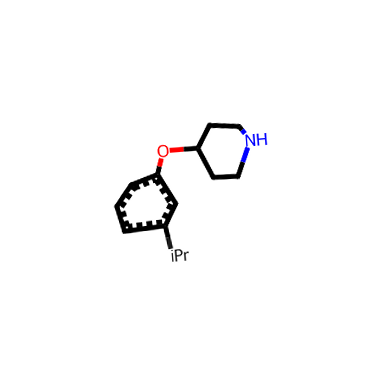 CC(C)c1cccc(OC2CCNCC2)c1